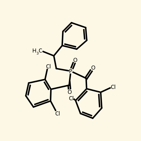 CC(CP(=O)(C(=O)c1c(Cl)cccc1Cl)C(=O)c1c(Cl)cccc1Cl)c1ccccc1